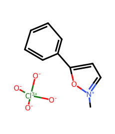 C[n+]1ccc(-c2ccccc2)o1.[O-][Cl+3]([O-])([O-])[O-]